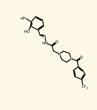 CCCc1cccc(/C=N/NC(=O)CN2CCN(C(=O)c3ccc(C(F)(F)F)cc3)CC2)c1O